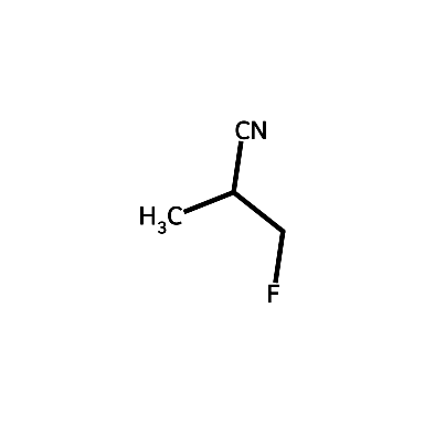 CC(C#N)CF